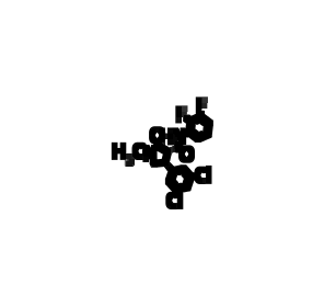 CN1C[C@H](c2cc(Cl)cc(Cl)c2)[C@@H](C(=O)Nc2cccc(F)c2F)C1=O